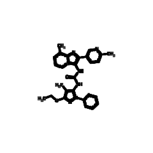 CCOc1nn(-c2ccccc2)c(NC(=O)Nc2c(-c3ccc(C)nc3)nc3c(C)cccn23)c1C